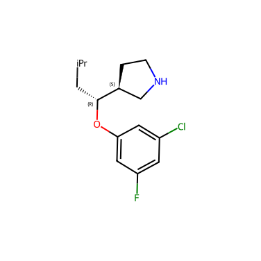 CC(C)C[C@@H](Oc1cc(F)cc(Cl)c1)[C@H]1CCNC1